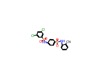 N#Cc1ccccc1NS(=O)(=O)c1ccc(NS(=O)(=O)c2cc(Cl)cc(Cl)c2)cc1